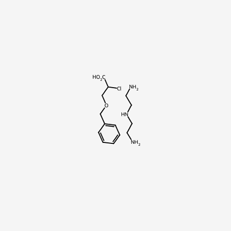 NCCNCCN.O=C(O)C(Cl)COCc1ccccc1